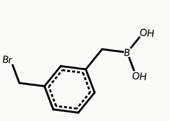 OB(O)Cc1cccc(CBr)c1